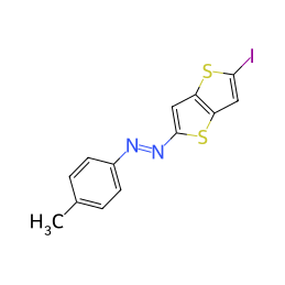 Cc1ccc(N=Nc2cc3sc(I)cc3s2)cc1